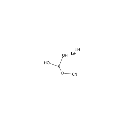 N#COB(O)O.[LiH].[LiH]